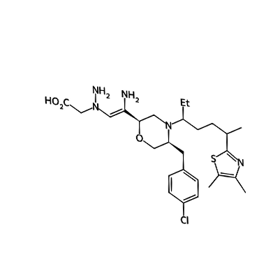 CCC(CCC(C)c1nc(C)c(C)s1)N1C[C@H](/C(N)=C/N(N)CC(=O)O)OC[C@@H]1Cc1ccc(Cl)cc1